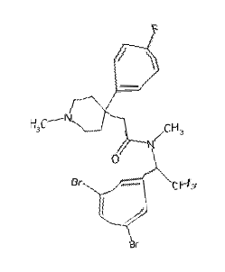 CC(c1cc(Br)cc(Br)c1)N(C)C(=O)CC1(c2ccc(F)cc2)CCN(C)CC1